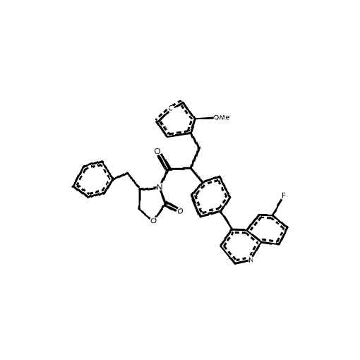 COc1ccccc1CC(C(=O)N1C(=O)OCC1Cc1ccccc1)c1ccc(-c2ccnc3ccc(F)cc23)cc1